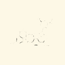 COC(=O)c1ccc2c(c1)N(C[C@H]1CC[C@@H]1[C@@H]1CC(=O)C[C@@H](OC)O1)C[C@@]1(CCCc3cc(Cl)ccc31)CO2